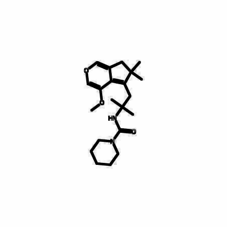 COC1=COC=C2CC(C)(C)C(CC(C)(C)NC(=O)N3CCCCC3)=C21